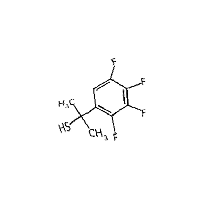 CC(C)(S)c1cc(F)c(F)c(F)c1F